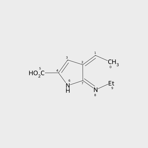 C/C=C1/C=C(C(=O)O)N/C1=N/CC